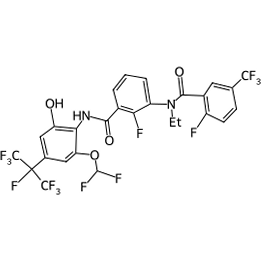 CCN(C(=O)c1cc(C(F)(F)F)ccc1F)c1cccc(C(=O)Nc2c(O)cc(C(F)(C(F)(F)F)C(F)(F)F)cc2OC(F)F)c1F